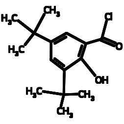 CC(C)(C)c1cc(C(=O)Cl)c(O)c(C(C)(C)C)c1